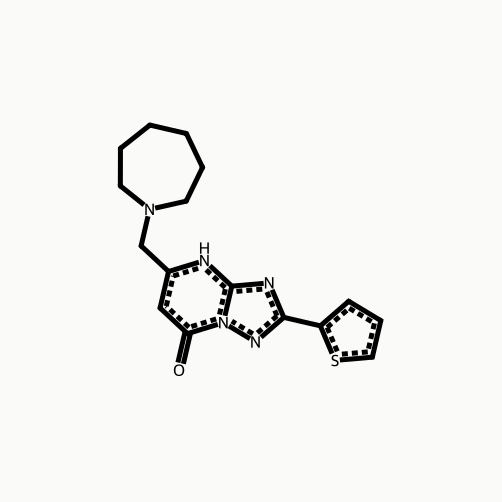 O=c1cc(CN2CCCCCC2)[nH]c2nc(-c3cccs3)nn12